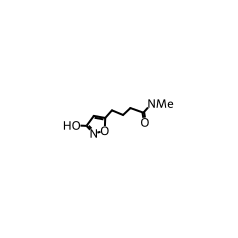 CNC(=O)CCCc1cc(O)no1